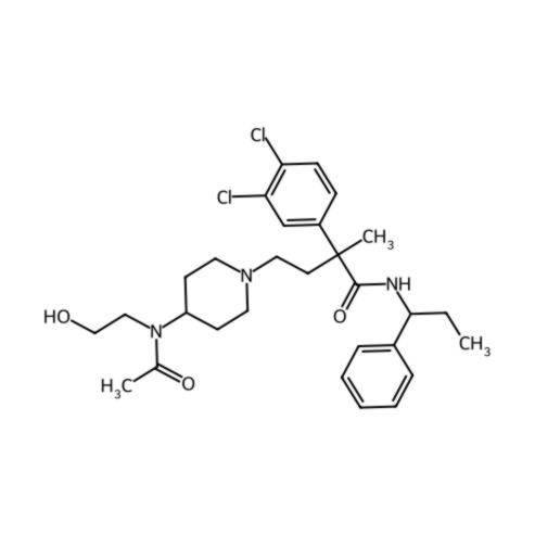 CCC(NC(=O)C(C)(CCN1CCC(N(CCO)C(C)=O)CC1)c1ccc(Cl)c(Cl)c1)c1ccccc1